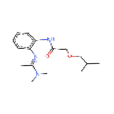 C/C(=N\c1ccccc1NC(=O)COCC(C)C)N(C)C